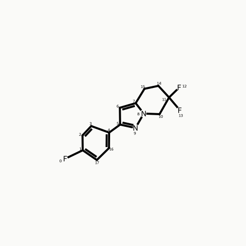 Fc1ccc(-c2cc3n(n2)CC(F)(F)CC3)cc1